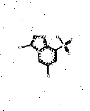 O=S(=O)(Cl)c1cc(Cl)cn2c(Cl)cnc12